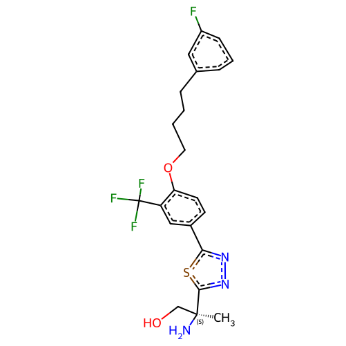 C[C@](N)(CO)c1nnc(-c2ccc(OCCCCc3cccc(F)c3)c(C(F)(F)F)c2)s1